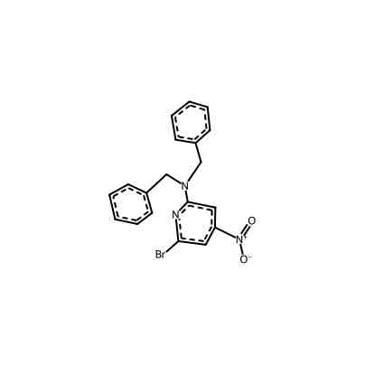 O=[N+]([O-])c1cc(Br)nc(N(Cc2ccccc2)Cc2ccccc2)c1